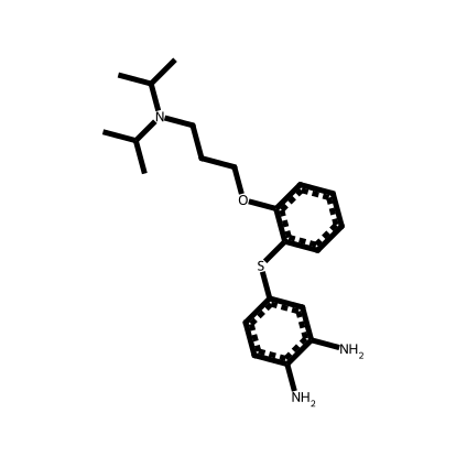 CC(C)N(CCCOc1ccccc1Sc1ccc(N)c(N)c1)C(C)C